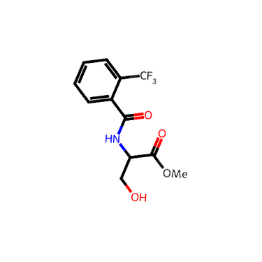 COC(=O)C(CO)NC(=O)c1ccccc1C(F)(F)F